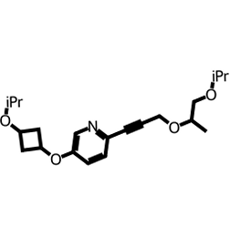 CC(C)OCC(C)OCC#Cc1ccc(OC2CC(OC(C)C)C2)cn1